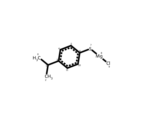 CC(C)c1ccc([S][Mg][Cl])cc1